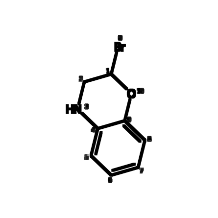 BrC1CNc2ccccc2O1